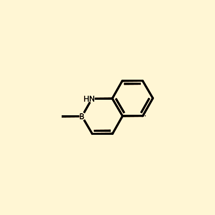 CB1C=Cc2[c]cccc2N1